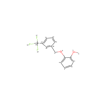 COc1c[c]ccc1OCc1cccc(C(F)(F)F)c1